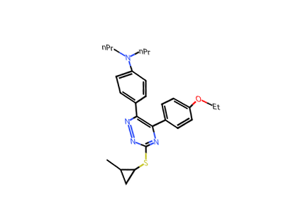 CCCN(CCC)c1ccc(-c2nnc(SC3CC3C)nc2-c2ccc(OCC)cc2)cc1